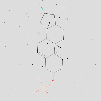 C[C@]12CC[C@H]3[C@@H](CC=C4C[C@H](OP(=O)(O)O)CC[C@@]43C)[C@@H]1C[C@@H](F)[C@@H]2O